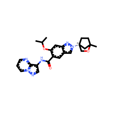 CC(C)Oc1cc2nn([C@]34CCC(C)(C3)OC4)cc2cc1C(=O)Nc1cnn2cccnc12